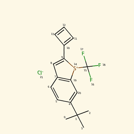 CC(C)(C)c1ccc2cc(C3=CC=C3)[s+](C(F)(F)F)c2c1.[Cl-]